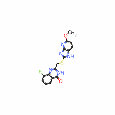 COc1ccc2[nH]c(SCc3nc4c(F)cccc4c(=O)[nH]3)nc2n1